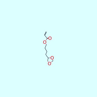 C=CC(=O)OCCCCC1COCO1